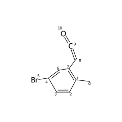 Cc1ccc(Br)cc1C=C=O